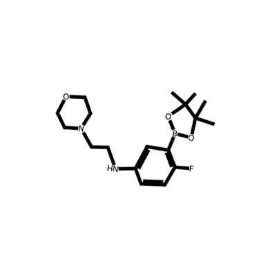 CC1(C)OB(c2cc(NCCN3CCOCC3)ccc2F)OC1(C)C